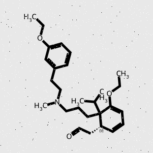 CCOC1=CC=C[C@H](CC=O)C1(CCCN(C)CCc1cccc(OCC)c1)C(C)C